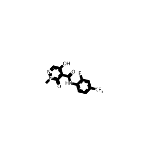 Cn1ncc(O)c(C(=O)Nc2ccc(C(F)(F)F)cc2F)c1=O